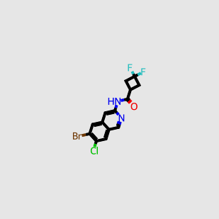 O=C(Nc1cc2cc(Br)c(Cl)cc2cn1)C1CC(F)(F)C1